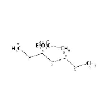 CCCCCCC.CCOC(C)=O.[SiH4]